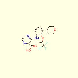 CC(Oc1c(Nc2nccnc2C(=O)O)cccc1C1CCOCC1)C(F)(F)F